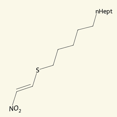 CCCCCCCCCCCCS/C=C/[N+](=O)[O-]